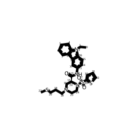 CCn1c2ccccc2c2cc(NC(=O)[C@@H]3CN(CCCSC)CCN3S(=O)(=O)c3cccs3)ccc21